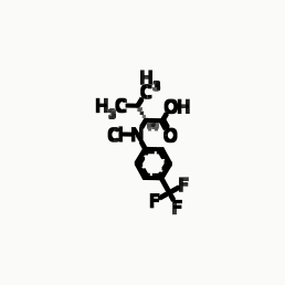 CC(C)[C@H](C(=O)O)N(Cl)c1ccc(C(F)(F)F)cc1